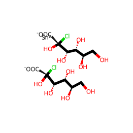 O=C([O-])[C@@](O)(Cl)[C@@H](O)[C@H](O)[C@H](O)CO.O=C([O-])[C@@](O)(Cl)[C@@H](O)[C@H](O)[C@H](O)CO.[Sn+2]